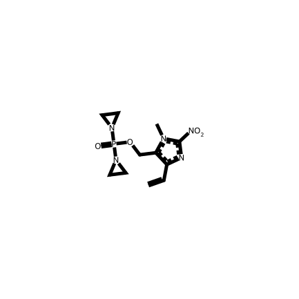 C=Cc1nc([N+](=O)[O-])n(C)c1COP(=O)(N1CC1)N1CC1